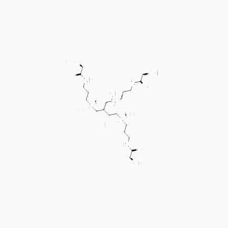 C=CC(=O)NCCC[N+](C)(C)CCC(C[N+](C)(C)CCCNC(=O)C=C)C[N+](C)(C)CCCNC(=O)C=C